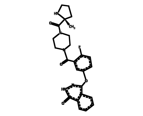 C[C@]1(C(=O)N2CCN(C(=O)c3cc(Oc4n[nH]c(=O)c5ccccc45)ccc3F)CC2)CCCN1